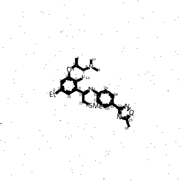 CCc1cc(OC(C)CN(C)C)c(F)c(C([C]SC)=Nc2ccc(-c3noc(C)n3)cc2)c1